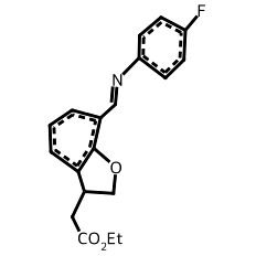 CCOC(=O)CC1COc2c(C=Nc3ccc(F)cc3)cccc21